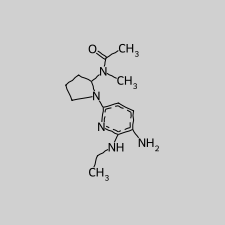 CCNc1nc(N2CCCC2N(C)C(C)=O)ccc1N